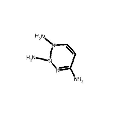 NC1=NN(N)N(N)C=C1